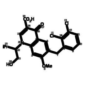 COc1cc2c(cc1Cc1cccc(Cl)c1Cl)c(=O)c(C(=O)O)cn2C(CO)C(C)C